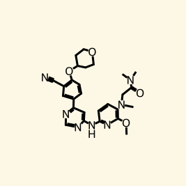 COc1nc(Nc2cc(-c3ccc(OC4CCOCC4)c(C#N)c3)ncn2)ccc1N(C)CC(=O)N(C)C